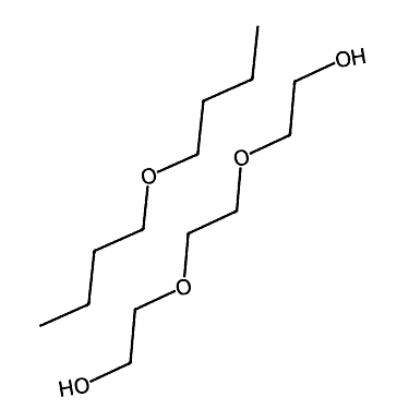 CCCCOCCCC.OCCOCCOCCO